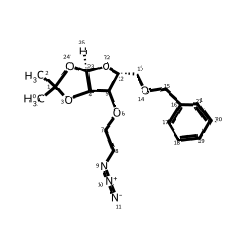 CC1(C)OC2C(OCCN=[N+]=[N-])[C@@H](COCc3ccccc3)O[C@@H]2O1